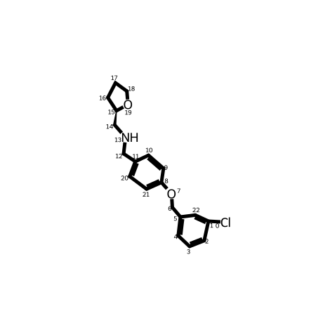 Clc1cccc(COc2ccc(CNC[C@H]3CCCO3)cc2)c1